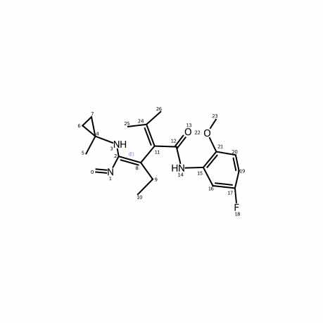 C=N/C(NC1(C)CC1)=C(\CC)C(C(=O)Nc1cc(F)ccc1OC)=C(C)C